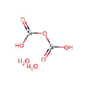 O.O.O=[Si](O)O[Si](=O)O